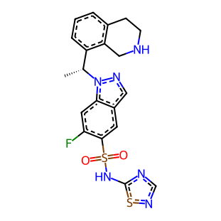 C[C@H](c1cccc2c1CNCC2)n1ncc2cc(S(=O)(=O)Nc3ncns3)c(F)cc21